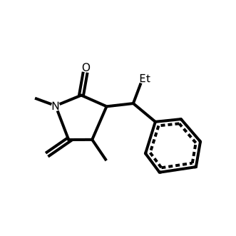 C=C1C(C)C(C(CC)c2ccccc2)C(=O)N1C